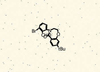 CC(C)(C)c1ccc2c(c1)OCCN(c1cccc(Br)c1C=O)C2=O